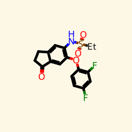 CCS(=O)(=O)Nc1cc2c(cc1Oc1ccc(F)cc1F)C(=O)CC2